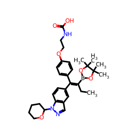 CCC(B1OC(C)(C)C(C)(C)O1)=C(c1ccc(OCCNC(=O)O)cc1)c1ccc2c(cnn2C2CCCCO2)c1